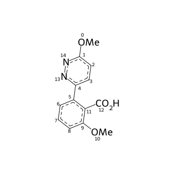 COc1ccc(-c2cccc(OC)c2C(=O)O)nn1